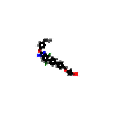 O=C(O)[C@H]1CC[C@H](Oc2nc3c(F)c(-c4ccc(-c5ccc(CO[C@H]6C[C@@H](O)C6)cc5)cc4)c(F)cc3[nH]2)CC1